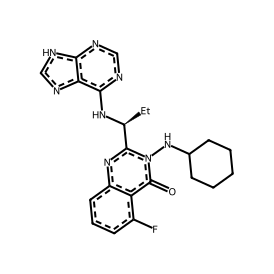 CC[C@H](Nc1ncnc2[nH]cnc12)c1nc2cccc(F)c2c(=O)n1NC1CCCCC1